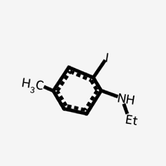 CCNc1ccc(C)cc1I